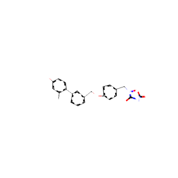 Cc1cc(O)ccc1-c1cccc(COc2ccc(Cn3oc(=O)[nH]c3=O)cc2)c1